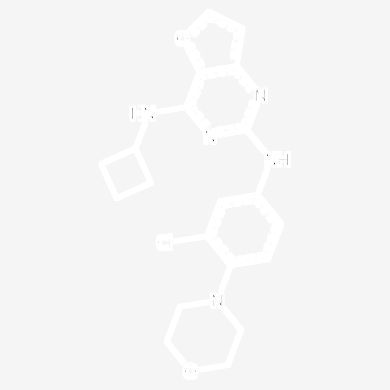 Clc1cc(Nc2nc(NC3CCC3)c3occc3n2)ccc1N1CCOCC1